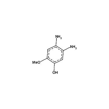 COc1cc(N)c(N)cc1O